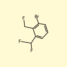 FCc1c(Br)cccc1C(F)F